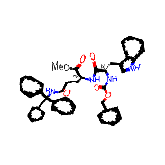 COC(=O)[C@H](CCC(=O)NC(c1ccccc1)(c1ccccc1)c1ccccc1)NC(=O)[C@H](Cc1c[nH]c2ccccc12)NC(=O)OCc1ccccc1